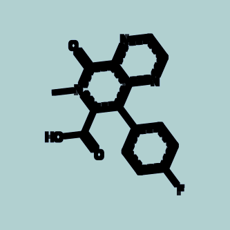 Cn1c(C(=O)O)c(-c2ccc(F)cc2)c2nccnc2c1=O